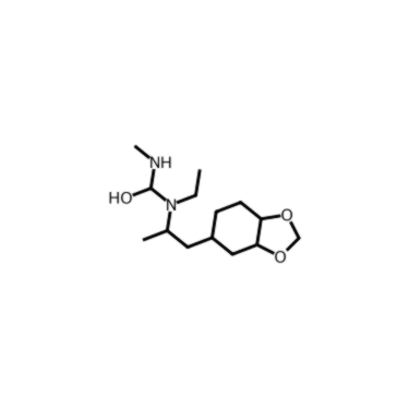 CCN(C(C)CC1CCC2OCOC2C1)C(O)NC